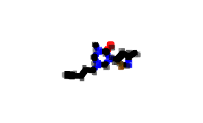 C#CCCCN1CN(C)C(=O)N(c2cc(C)ns2)C1